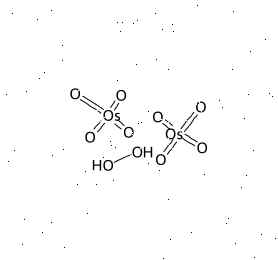 OO.[O]=[Os](=[O])(=[O])=[O].[O]=[Os](=[O])(=[O])=[O]